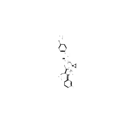 N=Cc1ccc(NC(=O)N2Cc3c(C(N)=O)c(-c4cccc(Cl)c4)nn3C3(CC3)C2)cc1